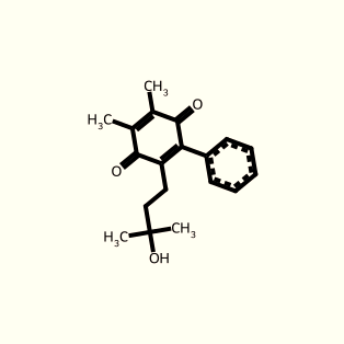 CC1=C(C)C(=O)C(c2ccccc2)=C(CCC(C)(C)O)C1=O